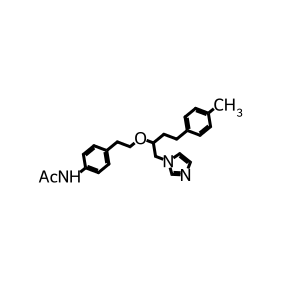 CC(=O)Nc1ccc(CCOC(CCc2ccc(C)cc2)Cn2ccnc2)cc1